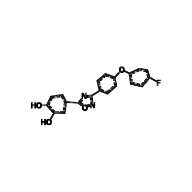 Oc1ccc(-c2nc(-c3ccc(Oc4ccc(F)cc4)cc3)no2)cc1O